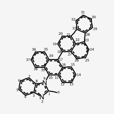 Cc1nc2ccccc2n1-c1c2ccccc2c(-c2ccc3c4c(cccc24)-c2ccccc2-3)c2ccccc12